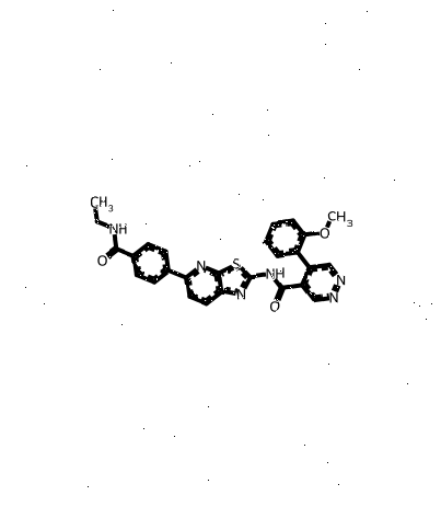 CCNC(=O)c1ccc(-c2ccc3nc(NC(=O)c4cnncc4-c4ccccc4OC)sc3n2)cc1